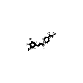 O=C(CBr)C1CCN(C(=O)C=Cc2cc(F)c(F)c(F)c2)CC1